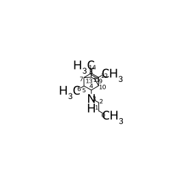 CCCNC1C(C)C2C=CC1C(C)C2C